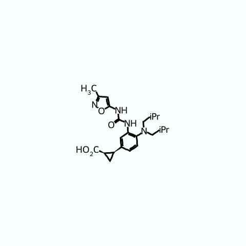 Cc1cc(NC(=O)Nc2cc([C@H]3C[C@H]3C(=O)O)ccc2N(CC(C)C)CC(C)C)on1